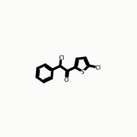 O=C(c1ccc(Cl)s1)C(Cl)c1ccccc1